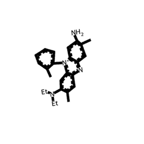 CCN(CC)c1cc2c(cc1C)nc1cc(C)c(N)cc1[n+]2-c1ccccc1C